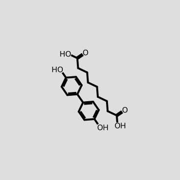 O=C(O)CCCCCCCC(=O)O.Oc1ccc(-c2ccc(O)cc2)cc1